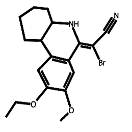 CCOc1cc2c(cc1OC)C(=C(Br)C#N)NC1CCCCC21